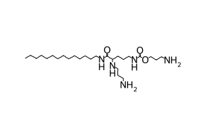 CCCCCCCCCCCCCCNC(=O)C(CCCNC(=O)OCCCN)NCCCN